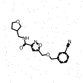 N#Cc1cccc(COCc2cc(C(=O)NCC3CCOC3)no2)c1